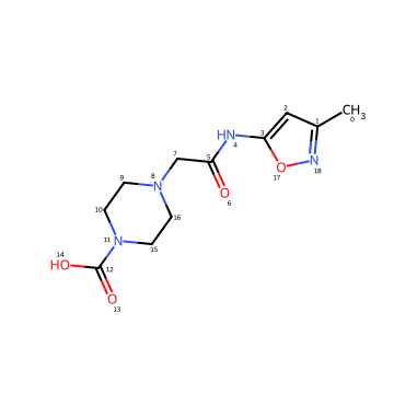 Cc1cc(NC(=O)CN2CCN(C(=O)O)CC2)on1